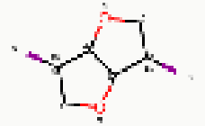 I[C@@H]1COC2C1OC[C@H]2I